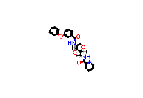 O=C(N[C@H]1CO[C@H]2[C@@H]1OC[C@@H]2NC(=O)c1ccccn1)c1cccc(Oc2ccccc2)c1